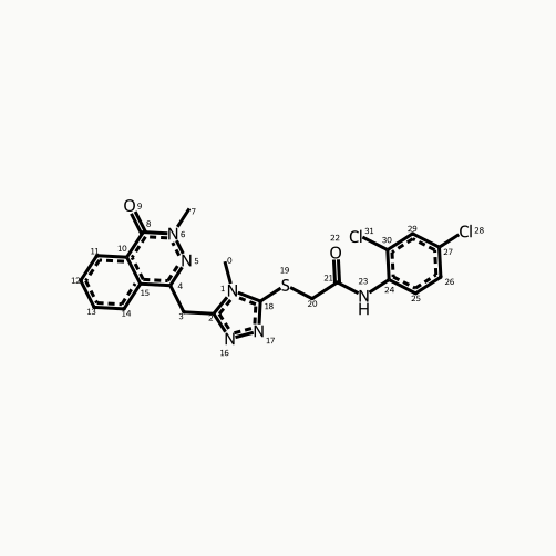 Cn1c(Cc2nn(C)c(=O)c3ccccc23)nnc1SCC(=O)Nc1ccc(Cl)cc1Cl